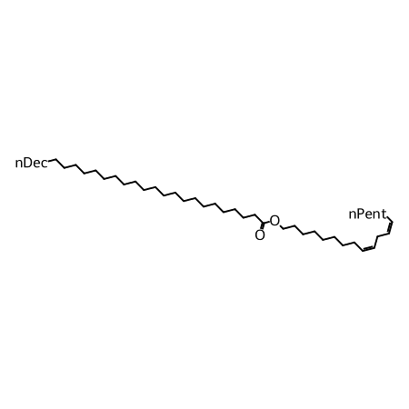 CCCCC/C=C\C/C=C\CCCCCCCCOC(=O)CCCCCCCCCCCCCCCCCCCCCCCCCCCCCCC